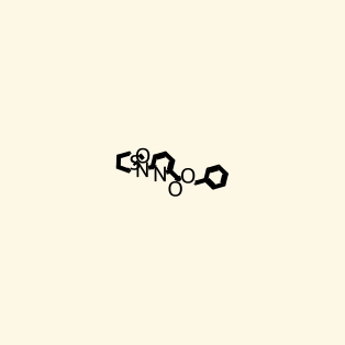 O=C(OCc1ccccc1)c1cccc(N=S2(=O)CCCC2)n1